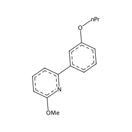 CCCOc1cccc(-c2cccc(OC)n2)c1